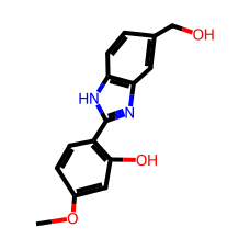 COc1ccc(-c2nc3cc(CO)ccc3[nH]2)c(O)c1